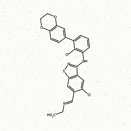 O=C(O)CN=Cc1cc2snc(Nc3cccc(-c4ccc5c(c4)OCCO5)c3Cl)c2cc1Cl